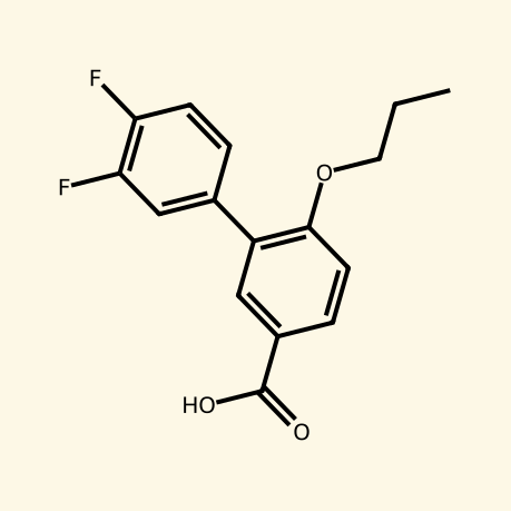 CCCOc1ccc(C(=O)O)cc1-c1ccc(F)c(F)c1